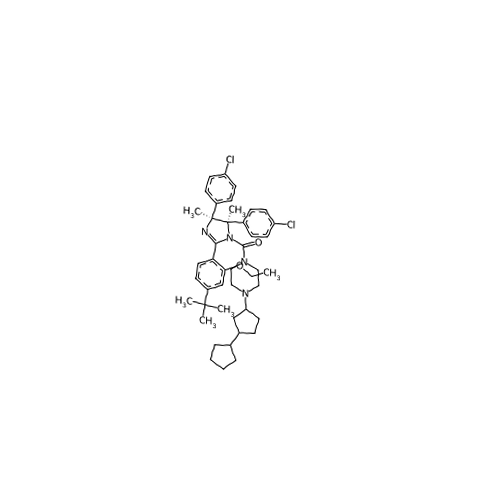 CCOc1cc(C(C)(C)C)ccc1C1=N[C@@](C)(c2ccc(Cl)cc2)[C@@](C)(c2ccc(Cl)cc2)N1C(=O)N1CCN(C2CCC(C3CCCC3)C2)CC1